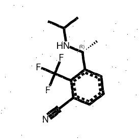 CC(C)N[C@H](C)c1cccc(C#N)c1C(F)(F)F